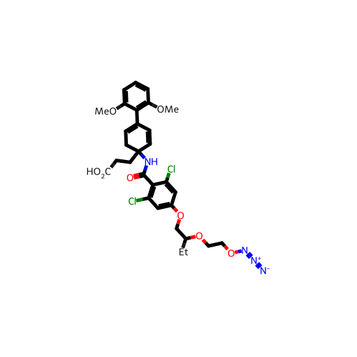 CCC(COc1cc(Cl)c(C(=O)NC2(CCC(=O)O)C=CC(c3c(OC)cccc3OC)=CC2)c(Cl)c1)OCCON=[N+]=[N-]